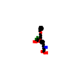 O=C(O)C(F)(F)F.O=C(O)CCNCCc1ccc(OCCCCOCc2ccccc2)cc1